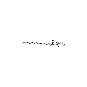 CCCCCCCCCCCCCCCC(=O)OC(C)(C)N